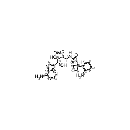 CO[C@H](CNS(=O)(=O)NC1(c2ccccc2N)COC1)[C@@H](O)[C@@H](O)n1cnc2c(N)ncnc21